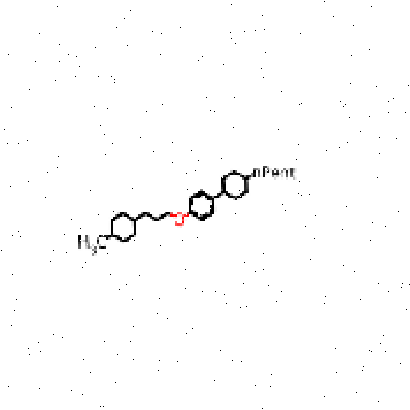 CCCCCC1CCC(c2ccc(OCCCC3CCC(C)CC3)cc2)CC1